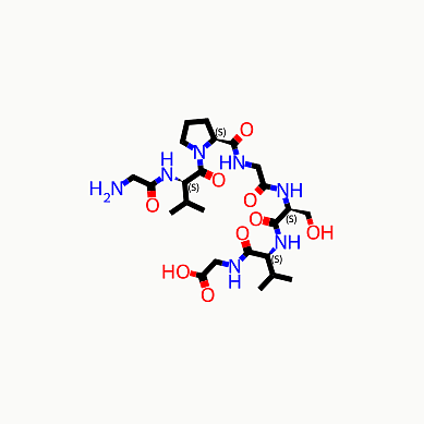 CC(C)[C@H](NC(=O)[C@H](CO)NC(=O)CNC(=O)[C@@H]1CCCN1C(=O)[C@@H](NC(=O)CN)C(C)C)C(=O)NCC(=O)O